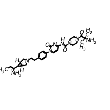 CC[C@H](N)C1[C@H]2CN(CCc3ccc(-n4ccc(NC(=O)N5CCN(C(=O)C(C)(C)N)CC5)nc4=O)cc3)C[C@@H]12